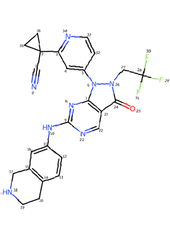 N#CC1(c2cc(-n3c4nc(Nc5ccc6c(c5)CNCC6)ncc4c(=O)n3CC(F)(F)F)ccn2)CC1